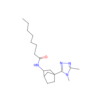 CCCCCCCC(=O)NC1CC2(c3nnc(C)n3C)CCC1C2